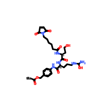 CC(C)(C)C(=O)OCc1ccc(NC(=O)[C@H](CCCNC(N)O)NC(=O)[C@H](CCO)NC(=O)CCCCCN2C(=O)C=CC2=O)cc1